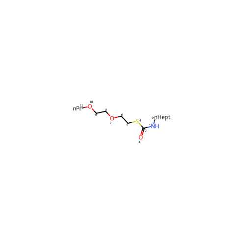 CCCCCCCNC(=O)SCCOCCOCCC